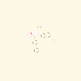 NC1CC2CCC(C1)N2C(=O)[C@@H](NS(=O)(=O)c1ccc2cc(OC3CCCC3)ccc2c1)C(F)(F)c1ccc(-c2ccc(C(F)(F)F)cc2)cc1.O=C(O)C(F)(F)F